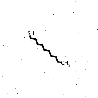 CCCCCCCC[CH]CS